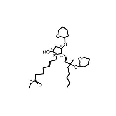 CCCCCC(C)(C=C[C@@H]1[C@@H](CC=CCCCC(=O)OC)[C@@H](O)C[C@H]1OC1CCCCO1)OC1CCCCO1